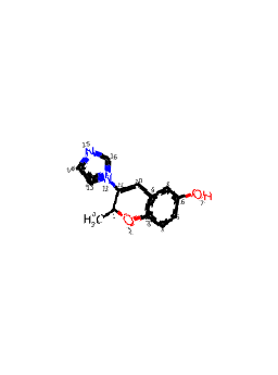 CC1Oc2ccc(O)cc2C=C1n1ccnc1